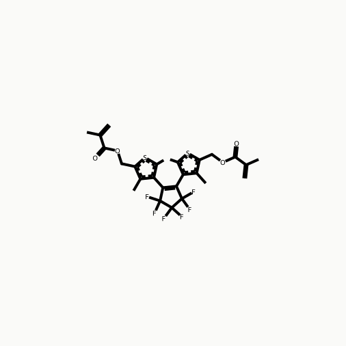 C=C(C)C(=O)OCc1sc(C)c(C2=C(c3c(C)sc(COC(=O)C(=C)C)c3C)C(F)(F)C(F)(F)C2(F)F)c1C